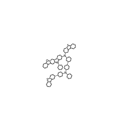 c1ccc(N(c2ccc(-c3cccc(N(c4ccc5sc6ccccc6c5c4)c4ccc5c6cc7oc8ccccc8c7cc6n(-c6ccccc6)c5c4)c3)cc2)c2ccc(-c3ccc4sc5ccccc5c4c3)cc2)cc1